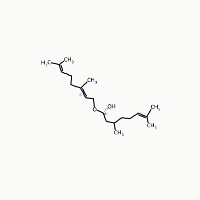 CC(C)=CCC/C(C)=C/CO[C@H](O)CC(C)CCC=C(C)C